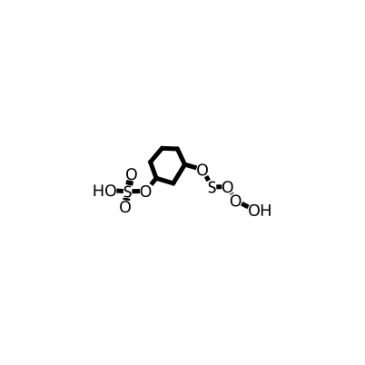 O=S(=O)(O)OC1CCCC(OSOOO)C1